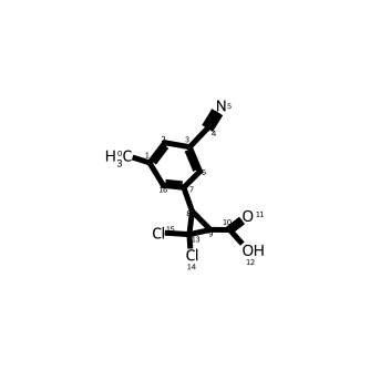 Cc1cc(C#N)cc(C2C(C(=O)O)C2(Cl)Cl)c1